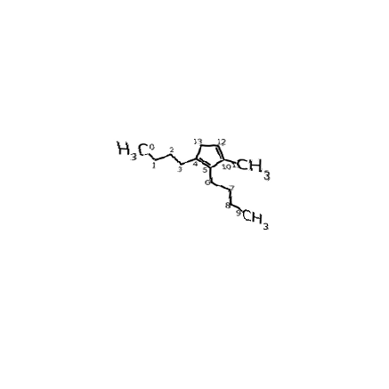 CCCCC1=C(CCCC)C(C)=[C]C1